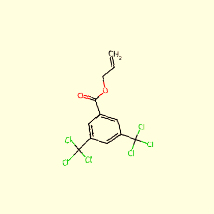 C=CCOC(=O)c1cc(C(Cl)(Cl)Cl)cc(C(Cl)(Cl)Cl)c1